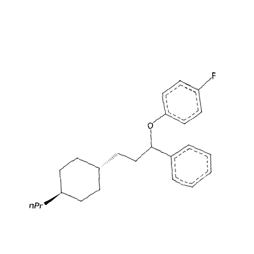 CCC[C@H]1CC[C@H](CCC(Oc2ccc(F)cc2)c2ccccc2)CC1